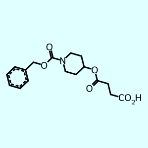 O=C(O)CCC(=O)OC1CCN(C(=O)OCc2ccccc2)CC1